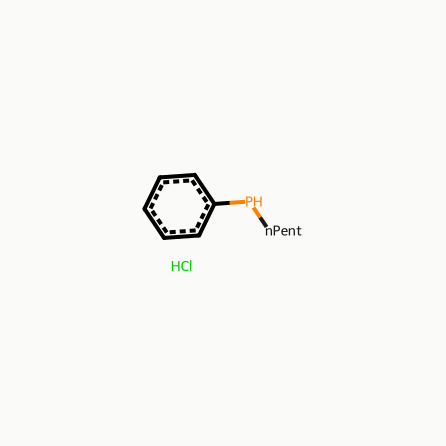 CCCCCPc1ccccc1.Cl